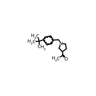 CC(=O)C1CCN(Cc2ccc(C(C)(C)C)cc2)C1